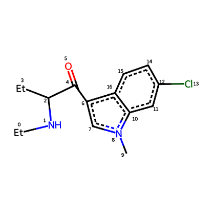 CCNC(CC)C(=O)c1cn(C)c2cc(Cl)ccc12